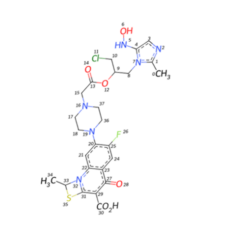 Cc1ncc(NO)n1CC(CCl)OC(=O)CN1CCN(c2cc3c(cc2F)c(=O)c(C(=O)O)c2n3C(C)S2)CC1